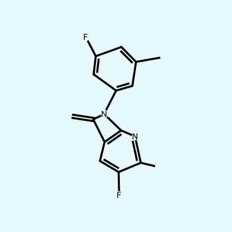 C=C1c2cc(F)c(C)nc2N1c1cc(C)cc(F)c1